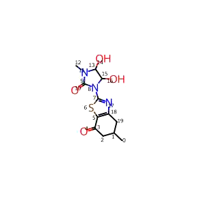 CC1CC(=O)c2sc(N3C(=O)N(C)C(O)C3O)nc2C1